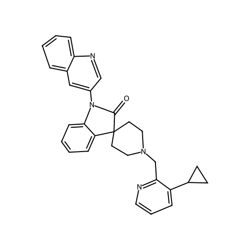 O=C1N(c2cnc3ccccc3c2)c2ccccc2C12CCN(Cc1ncccc1C1CC1)CC2